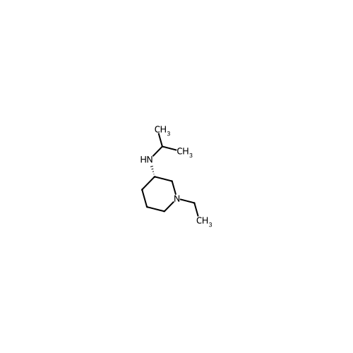 CCN1CCC[C@H](NC(C)C)C1